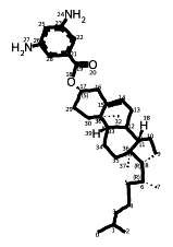 CC(C)CCC[C@@H](C)[C@H]1CC[C@H]2C3CC=C4C[C@@H](OC(=O)c5cc(N)cc(N)c5)CC[C@]4(C)[C@H]3CC[C@]12C